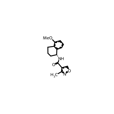 COc1cccc2c1CCC[C@H]2NC(=O)c1conc1C